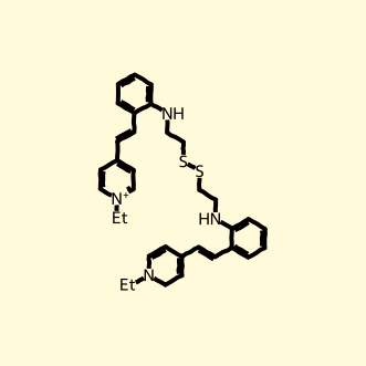 CCN1C=CC(/C=C/c2ccccc2NCCSSCCNc2ccccc2/C=C/c2cc[n+](CC)cc2)=CC1